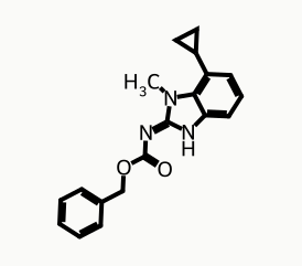 Cn1/c(=N/C(=O)OCc2ccccc2)[nH]c2cccc(C3CC3)c21